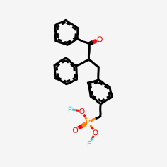 O=C(c1ccccc1)C(Cc1ccc(CP(=O)(OF)OF)cc1)c1ccccc1